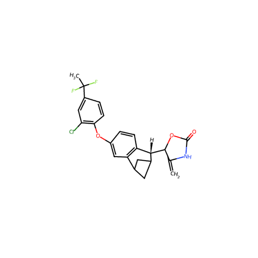 C=C1NC(=O)OC1[C@H]1c2ccc(Oc3ccc(C(C)(F)F)cc3Cl)cc2C2CC1C2